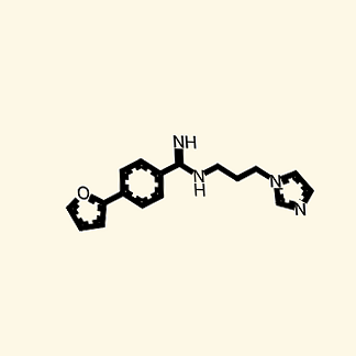 N=C(NCCCn1ccnc1)c1ccc(-c2ccco2)cc1